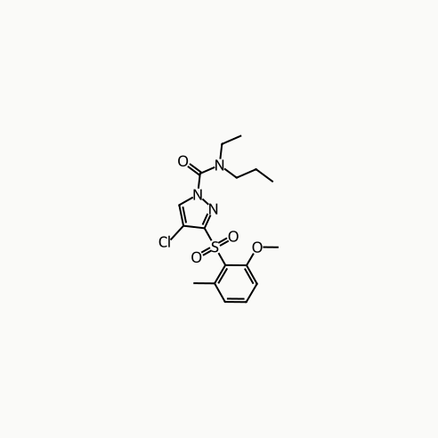 CCCN(CC)C(=O)n1cc(Cl)c(S(=O)(=O)c2c(C)cccc2OC)n1